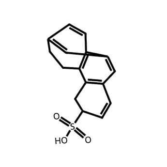 O=S(=O)(O)C1C=Cc2cc3cc4ccc3c(c2C1)CC4